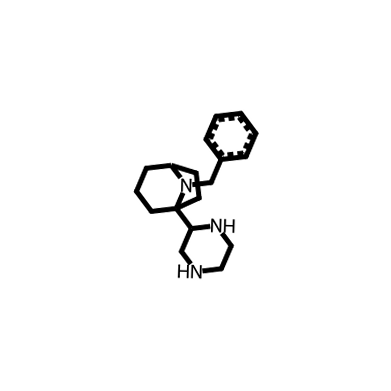 c1ccc(CN2C3CCCC2(C2CNCCN2)CC3)cc1